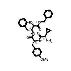 COc1ccc(C[C@H](NC(=O)[C@@H](N)C2CC2)C(=O)N[C@@H](Cc2ccccc2)C(O)C(=O)NCc2ccccc2)cc1